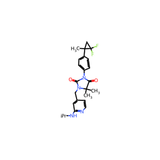 CC(C)Nc1cc(CN2C(=O)N(c3ccc(C4(C)CC4(F)F)cc3)C(=O)C2(C)C)ccn1